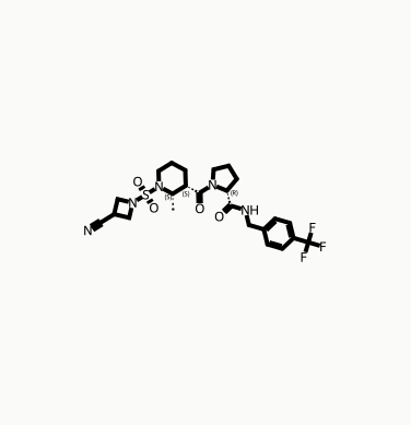 C[C@H]1[C@@H](C(=O)N2CCC[C@@H]2C(=O)NCc2ccc(C(F)(F)F)cc2)CCCN1S(=O)(=O)N1CC(C#N)C1